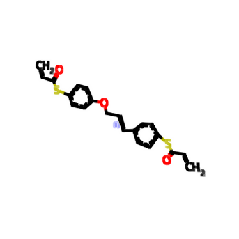 C=CC(=O)Sc1ccc(/C=C/COc2ccc(SC(=O)C=C)cc2)cc1